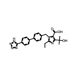 CCc1nc(C(C)(C)O)c(C(=O)O)n1Cc1ccc(-c2ccc(-c3nnn[nH]3)cc2)cc1